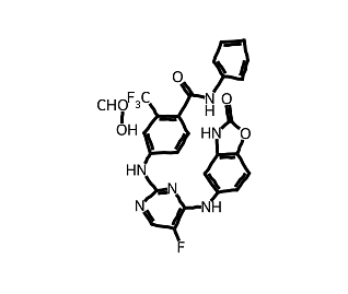 O=C(Nc1ccccc1)c1ccc(Nc2ncc(F)c(Nc3ccc4oc(=O)[nH]c4c3)n2)cc1C(F)(F)F.O=CO